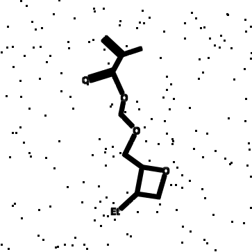 C=C(C)C(=O)OCOCC1OCC1CC